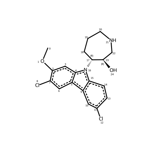 COc1cc2c(cc1Cl)c1cc(Cl)ccc1n2[C@@H]1CCCNC[C@H]1O